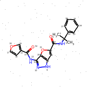 CC(C)(NC(=O)c1cc2[nH]nc(NC(=O)c3ccoc3)c2o1)c1ccccc1